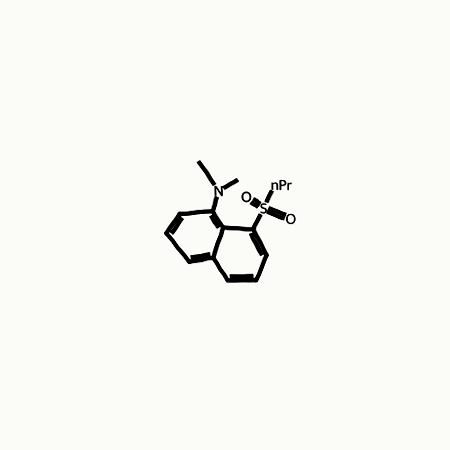 CCCS(=O)(=O)c1cccc2cccc(N(C)C)c12